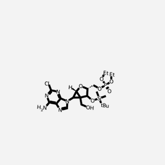 CCOP(=O)(OCC)OC[C@H]1O[C@H]2C(n3cnc4c(N)nc(Cl)nc43)C2(CO)C1O[Si](C)(C)C(C)(C)C